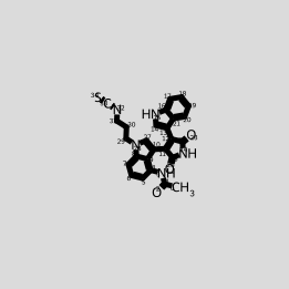 CC(=O)Nc1cccc2c1c(C1=C(c3c[nH]c4ccccc34)C(=O)NC1=O)cn2CCCN=C=S